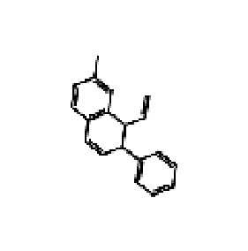 C=CC1c2cc(C)ccc2C=CC1c1ccccc1